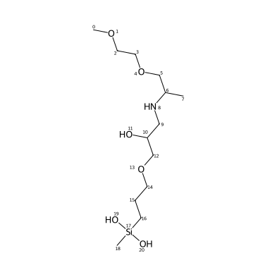 COCCOCC(C)NCC(O)COCCC[Si](C)(O)O